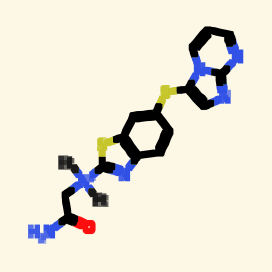 CC[N+](CC)(CC(N)=O)c1nc2ccc(Sc3cnc4ncccn34)cc2s1